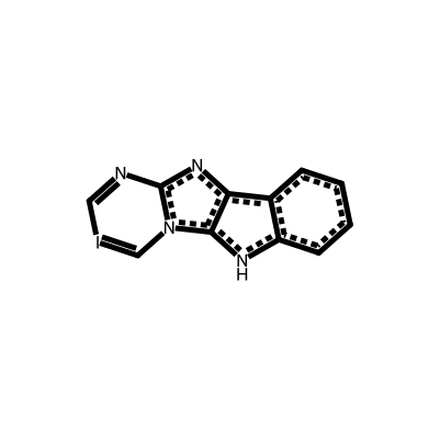 C1=Nc2nc3c4ccccc4[nH]c3n2C=I1